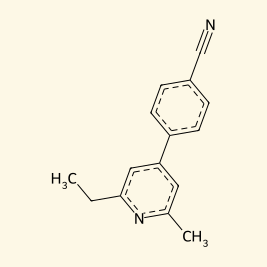 CCc1cc(-c2ccc(C#N)cc2)cc(C)n1